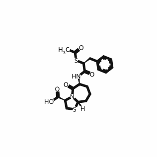 CC(=O)S[C@@H](Cc1ccccc1)C(=O)N[C@H]1CCC[C@@H]2SC[C@@H](C(=O)O)N2C1=O